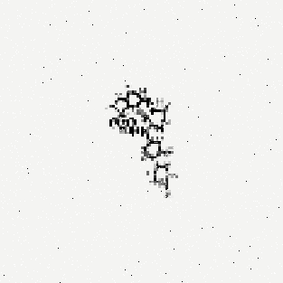 Cc1cnc(Nc2ccc(C3CCN(C)CC3)c(F)c2)nc1Nc1ccc2c(c1)C(S(=O)(=O)C(C)(C)C)CC2